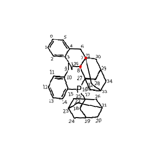 c1ccc2c(c1)CCCN2c1ccccc1P(C12CC3CC(CC(C3)C1)C2)C12CC3CC(CC(C3)C1)C2